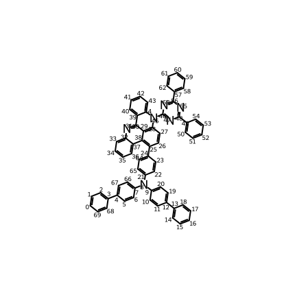 c1ccc(-c2ccc(N(c3ccc(-c4ccccc4)cc3)c3ccc(-c4ccc5c6c(nc7ccccc7c46)-c4ccccc4N5c4nc(-c5ccccc5)nc(-c5ccccc5)n4)cc3)cc2)cc1